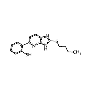 CCCCSc1nc2ccc(-c3ccccc3S)nc2[nH]1